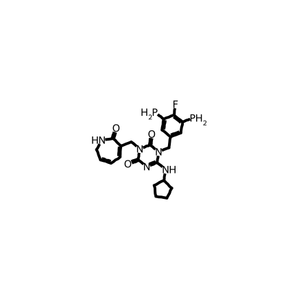 O=C1NCC=CC=C1Cn1c(=O)nc(NC2CCCC2)n(Cc2cc(P)c(F)c(P)c2)c1=O